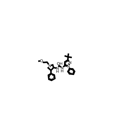 COCCN1CC(NC(O)Nc2cc(C(C)(C)C)nn2-c2ccccc2)C(c2ccccc2)C1